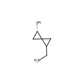 CCC[C@H]1CC12CC2CN